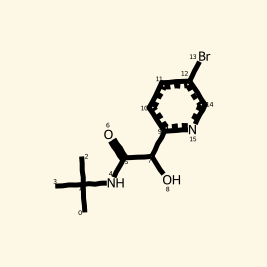 CC(C)(C)NC(=O)C(O)c1ccc(Br)cn1